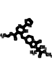 CCOC(=O)C1=C(CN2CCN3C(=O)N(C(C)(C)C(=O)OC)CC3C2)NC(c2nccs2)=NC1